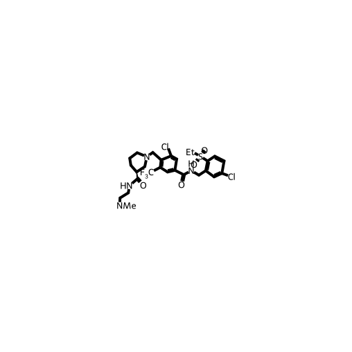 CCS(=O)(=O)c1ccc(Cl)cc1CNC(=O)c1cc(Cl)c(CN2CCC[C@H](C(=O)NCCNC)C2)c(C(F)(F)F)c1